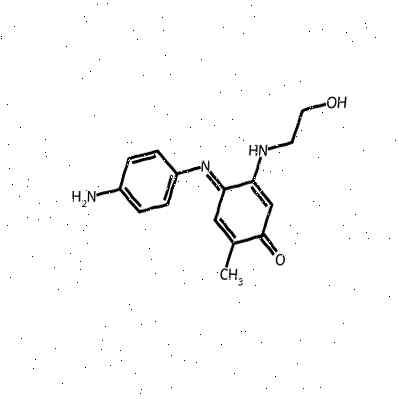 CC1=CC(=Nc2ccc(N)cc2)C(NCCO)=CC1=O